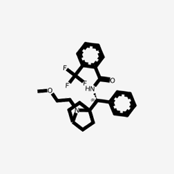 COCCN1C2CCC1([C@H](NC(=O)c1ccccc1C(F)(F)F)c1ccccc1)CC2